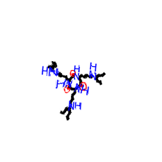 CCCC(CCC)NCCCCC1CC(=O)NC(CCCCNC(C)CC)CC(=O)NC(CCCCNC(CCC)CCC)CC(=O)N1